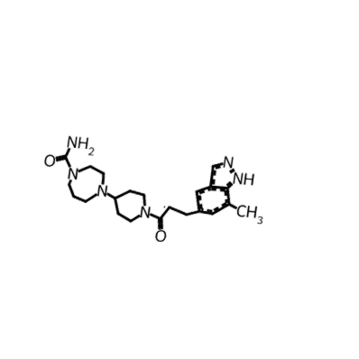 Cc1cc(C[CH]C(=O)N2CCC(N3CCCN(C(N)=O)CC3)CC2)cc2cn[nH]c12